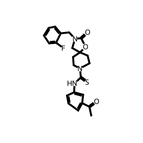 CC(=O)c1cccc(NC(=S)N2CCC3(CC2)CN(Cc2ccccc2F)C(=O)O3)c1